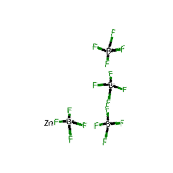 F[B-](F)(F)F.F[B-](F)(F)F.F[B-](F)(F)F.F[B-](F)(F)F.[Zn]